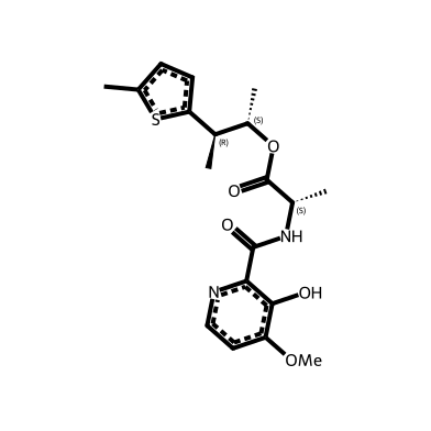 COc1ccnc(C(=O)N[C@@H](C)C(=O)O[C@@H](C)[C@@H](C)c2ccc(C)s2)c1O